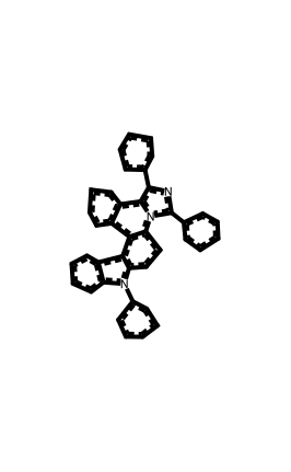 c1ccc(-c2nc(-c3ccccc3)n3c4ccc5c(c6ccccc6n5-c5ccccc5)c4c4ccccc4c23)cc1